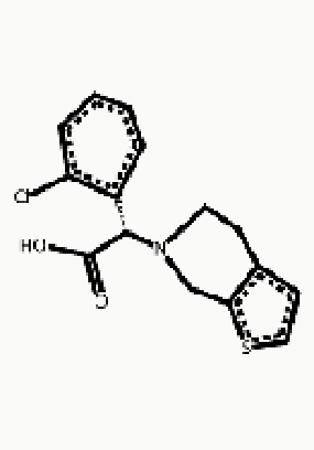 O=C(O)[C@H](c1ccccc1Cl)N1CCc2ccsc2C1